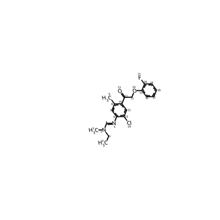 CCN(C)C=Nc1cc(C)c(C(=O)COc2ccccc2F)cc1Cl